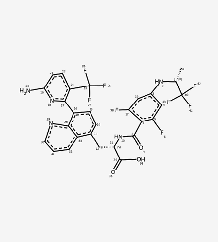 C[C@@H](Nc1cc(F)c(C(=O)N[C@@H](Cc2ccc(-c3nc(N)ccc3C(F)(F)F)c3ncccc23)C(=O)O)c(F)c1)C(F)(F)F